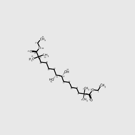 CCOC(=O)C(C)(C)CCCCC[C@@H](O)[C@H](O)CCCCC(C)(C)C(=O)OCC